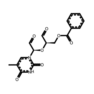 Cc1cn([C@@H](C=O)O[C@@H](C=O)COC(=O)c2ccccc2)c(=O)[nH]c1=O